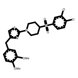 COc1ccc(Cc2csc(N3CCC(S(=O)(=O)c4ccc(Cl)c(Cl)c4)CC3)n2)cc1OC